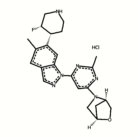 Cc1nc(N2C[C@H]3C[C@@H]2CO3)cc(-n2ncc3cc(C)c([C@H]4CCNC[C@H]4F)cc32)n1.Cl